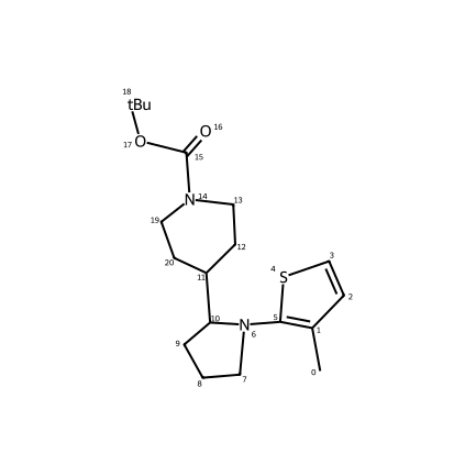 Cc1ccsc1N1CCCC1C1CCN(C(=O)OC(C)(C)C)CC1